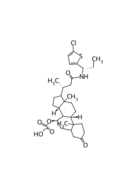 CC[C@H](NC(=O)C[C@@H](C)C1CC[C@H]2C3[C@H](OS(=O)(=O)O)CC4CC(=O)CCC4(C)[C@H]3CCC12C)c1ccc(Cl)s1